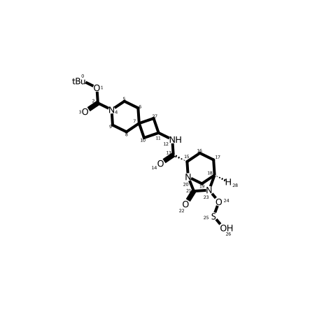 CC(C)(C)OC(=O)N1CCC2(CC1)CC(NC(=O)[C@@H]1CC[C@@H]3CN1C(=O)N3OSO)C2